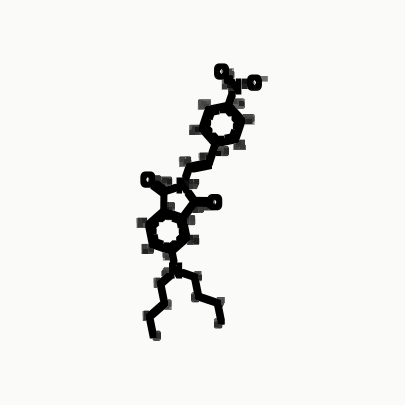 CCCCN(CCCC)c1ccc2c(c1)C(=O)N(C=Cc1ccc([N+](=O)[O-])cc1)C2=O